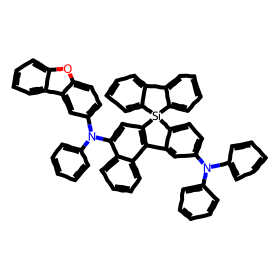 c1ccc(N(c2ccccc2)c2ccc3c(c2)-c2c(cc(N(c4ccccc4)c4ccc5oc6ccccc6c5c4)c4ccccc24)[Si]32c3ccccc3-c3ccccc32)cc1